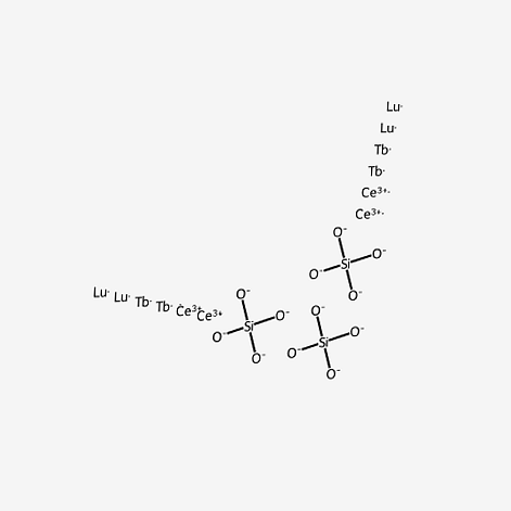 [Ce+3].[Ce+3].[Ce+3].[Ce+3].[Lu].[Lu].[Lu].[Lu].[O-][Si]([O-])([O-])[O-].[O-][Si]([O-])([O-])[O-].[O-][Si]([O-])([O-])[O-].[Tb].[Tb].[Tb].[Tb]